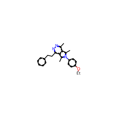 CCOc1ccc(-n2c(C)c3c(C)nnc(CCc4ccccc4)c3c2C)cc1